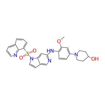 COc1cc(N2CCC(O)CC2)ccc1Nc1cc2c(ccn2S(=O)(=O)c2cccc3cccnc23)cn1